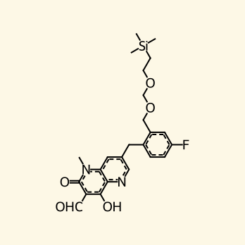 Cn1c(=O)c(C=O)c(O)c2ncc(Cc3ccc(F)cc3COCOCC[Si](C)(C)C)cc21